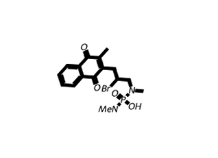 CNP(=O)(O)N(C)CC(Br)CC1=C(C)C(=O)c2ccccc2C1=O